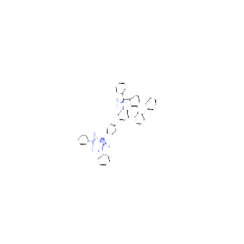 c1ccc(-c2nc(-c3ccccc3)nc(-c3ccc(-c4ccc5c(c4)nc(-c4ccccc4)c4cccc(-c6ccccc6-c6ccccc6)c45)cc3)n2)cc1